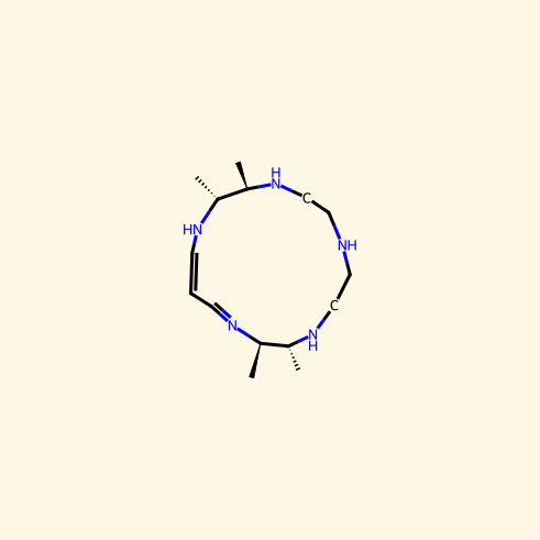 C[C@H]1/N=C/C=C\N[C@H](C)[C@@H](C)NCCNCCN[C@@H]1C